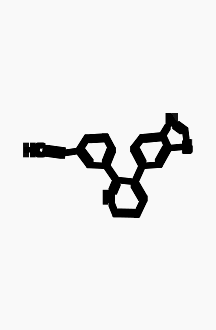 C#Cc1cccc(-c2ncccc2-c2ccc3ncsc3c2)c1